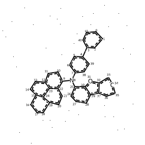 c1ccc(-c2ccc(N(c3ccc4ccc5cccc6ccc3c4c56)c3cccc4c3oc3ccccc34)cc2)cc1